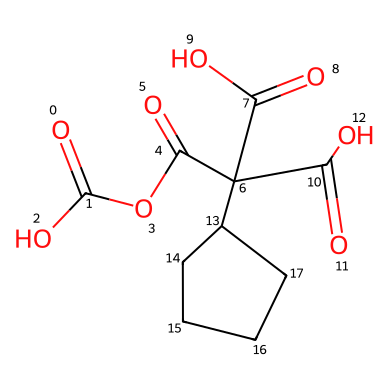 O=C(O)OC(=O)C(C(=O)O)(C(=O)O)C1CCCC1